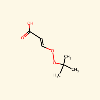 CC(C)(C)OOC=CC(=O)O